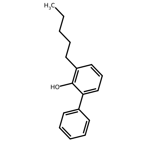 CCCCCc1cccc(-c2ccccc2)c1O